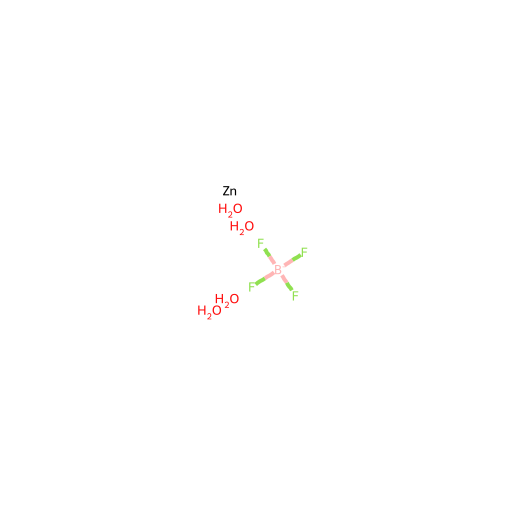 F[B-](F)(F)F.O.O.O.O.[Zn]